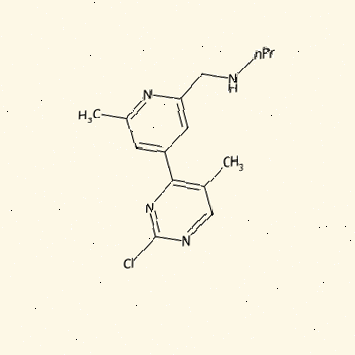 [CH2]CCNCc1cc(-c2nc(Cl)ncc2C)cc(C)n1